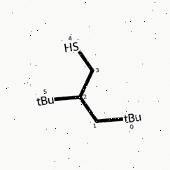 CC(C)(C)CC(CS)C(C)(C)C